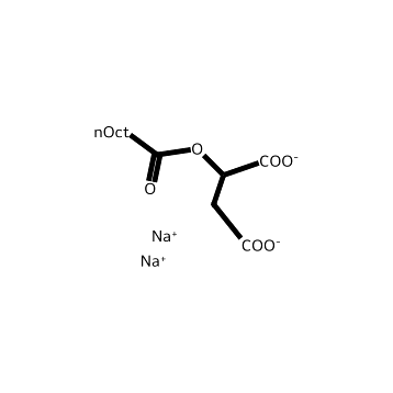 CCCCCCCCC(=O)OC(CC(=O)[O-])C(=O)[O-].[Na+].[Na+]